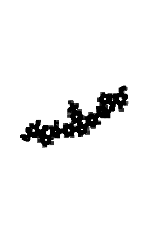 CCC(=O)N[C@H](C(=O)N1CCC[C@H]1c1c[nH]c(-c2ccc(C3CCC(c4ccc(-c5nc([C@@H]6CCCC6C(=O)[C@@H](NC(=O)OC)C(C)C)c[nH]5)cc4)N3c3ccc(C(C)(C)C)cc3)cc2)n1)C(C)C